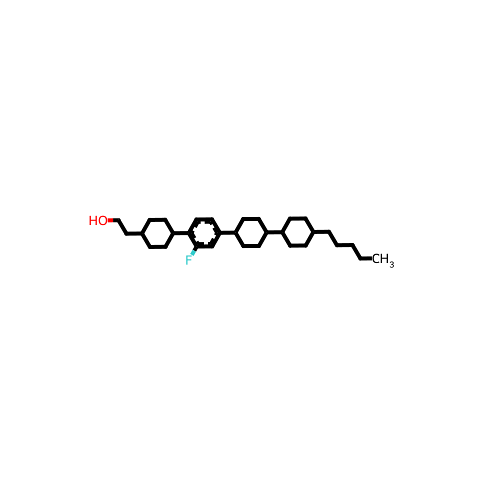 CCCCCC1CCC(C2CCC(c3ccc(C4CCC(CCO)CC4)c(F)c3)CC2)CC1